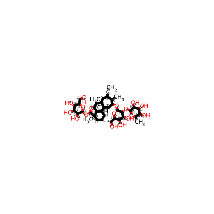 C=C=C1C[C@@]2(C)CCC3[C@](C)(C(=O)OC4OC(CO)C(O)C(O)C4O)CCC[C@@]3(C)[C@@H]2CC(OC2OC(CO)C(O)C(O)C2OC2OC(C)C(O)C(O)C2O)[C@@H]1C